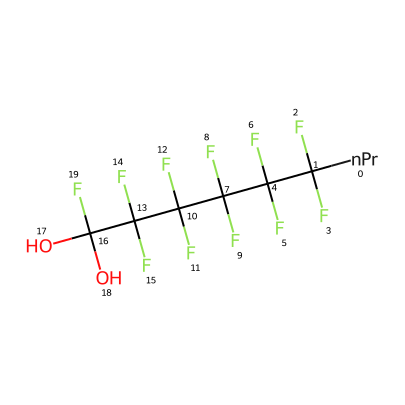 CCCC(F)(F)C(F)(F)C(F)(F)C(F)(F)C(F)(F)C(O)(O)F